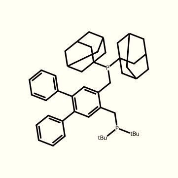 CC(C)(C)P(Cc1cc(-c2ccccc2)c(-c2ccccc2)cc1CP(C12CC3CC(CC(C3)C1)C2)C12CC3CC(CC(C3)C1)C2)C(C)(C)C